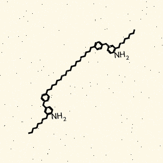 CCCCCCCCc1cc(Cc2ccc(CCCCCCCCCCCCCCCCCCCc3ccc(Cc4ccc(N)c(CCCCCCCC)c4)cc3)cc2)ccc1N